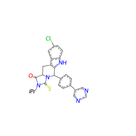 CC(C)N1C(=O)C2Cc3c([nH]c4ccc(Cl)cc34)C(c3ccc(-c4cncnc4)cc3)N2C1=S